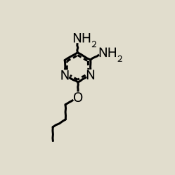 CCCCOc1ncc(N)c(N)n1